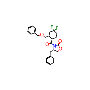 O=C1OC[C@@H](Cc2ccccc2)N1C(=O)[C@@H]1CCC(F)(F)C[C@@H]1COCc1ccccc1